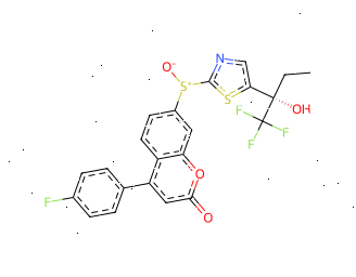 CC[C@](O)(c1cnc([S+]([O-])c2ccc3c(-c4ccc(F)cc4)cc(=O)oc3c2)s1)C(F)(F)F